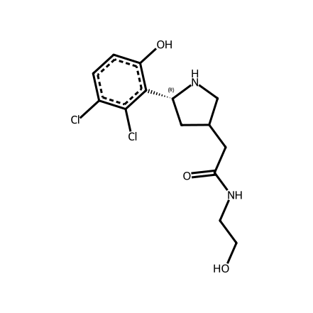 O=C(CC1CN[C@@H](c2c(O)ccc(Cl)c2Cl)C1)NCCO